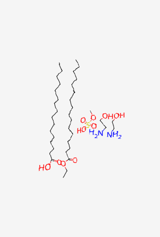 CCCCCCCCCCCCCCCC(=O)O.CCCCCCCCCCCCCCCC(=O)OCC.COS(=O)(=O)O.NCCO.NCCO